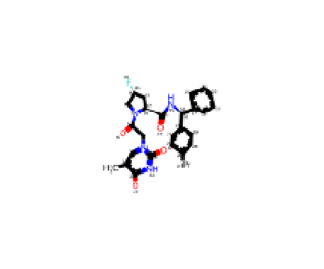 Cc1cn(CC(=O)N2C[C@H](F)C[C@H]2C(=O)N[C@@H](c2ccccc2)c2ccc(C(C)C)cc2)c(=O)[nH]c1=O